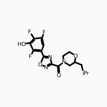 CC(C)CC1CN(C(=O)c2noc(-c3cc(F)c(F)c(O)c3F)n2)CCO1